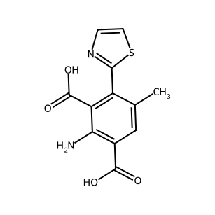 Cc1cc(C(=O)O)c(N)c(C(=O)O)c1-c1nccs1